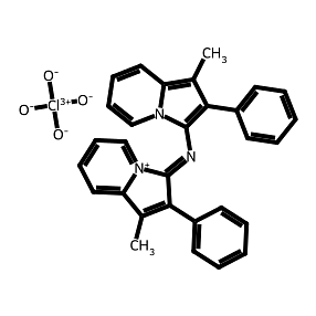 CC1=C(c2ccccc2)C(=Nc2c(-c3ccccc3)c(C)c3ccccn23)[n+]2ccccc21.[O-][Cl+3]([O-])([O-])[O-]